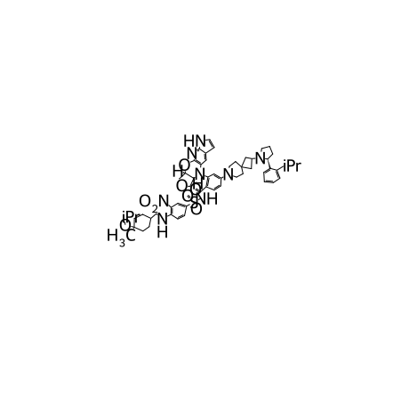 CC(C)OC1(C)CCC(CNc2ccc(S(=O)(=O)NC(=O)c3ccc(N4CCC5(CC4)CC(N4CCC[C@H]4c4ccccc4C(C)C)C5)cc3N3c4cc5cc[nH]c5nc4O[C@H]4COC[C@@H]43)cc2[N+](=O)[O-])CC1